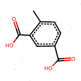 Cc1[c]cc(C(=O)O)cc1C(=O)O